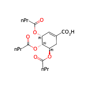 CCCC(=O)O[C@@H]1[C@H](OC(=O)CCC)C=C(C(=O)O)C[C@H]1OC(=O)CCC